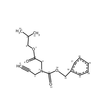 C#CCN(CC(=O)OCC(C)C)C(=O)OCc1ccccc1